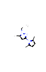 Cc1ccc(C)n1-c1cc(C(C)(C)C)n(CC#N)n1